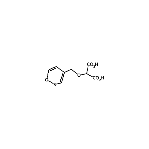 O=C(O)C(OCC1=CSOC=C1)C(=O)O